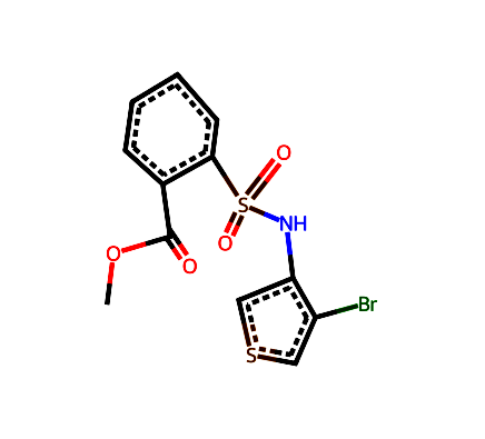 COC(=O)c1ccccc1S(=O)(=O)Nc1cscc1Br